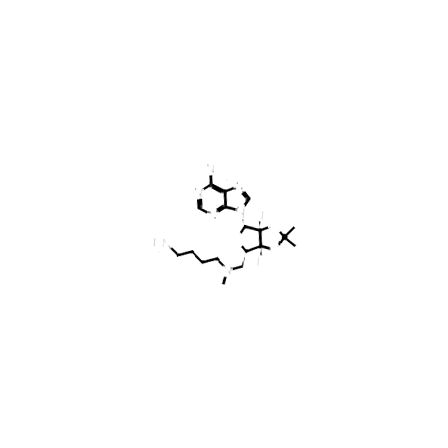 CN(CCCCN)C[C@H]1O[C@@H](n2cnc3c(N)ncnc32)[C@@H]2OC(C)(C)O[C@@H]21